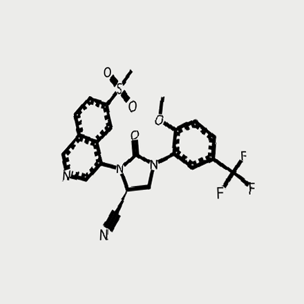 COc1ccc(C(F)(F)F)cc1N1C[C@@H](C#N)N(c2cncc3ccc(S(C)(=O)=O)cc23)C1=O